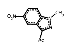 CC(=O)c1nn(C)c2ccc([N+](=O)[O-])cc12